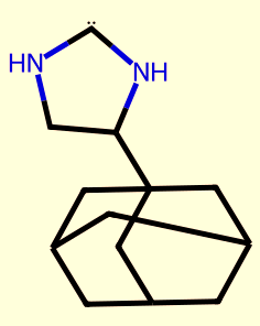 [C]1NCC(C23CC4CC(CC(C4)C2)C3)N1